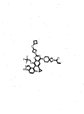 C=CC(=O)N1CC2(CCN(c3nc(N4CC(OC5CCC5)C4)nc4c(OCC(F)(F)F)c(-c5c(C)ccc6[nH]ncc56)c(C5CC5)cc34)CC2)C1